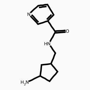 NC1CCC(CNC(=O)c2cccnc2)C1